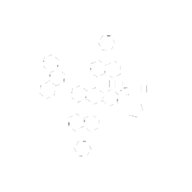 C[Si]1(C)c2cc3c(-c4ccc5c6c(cccc46)-c4ccccc4-5)c4cc(-c5cc6ccccc6c6ccccc56)ccc4c(-c4ccc5c6c(cccc46)-c4ccccc4-5)c3cc2C2C=CC=CC21